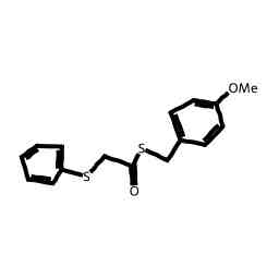 COc1ccc(CSC(=O)CSc2ccccc2)cc1